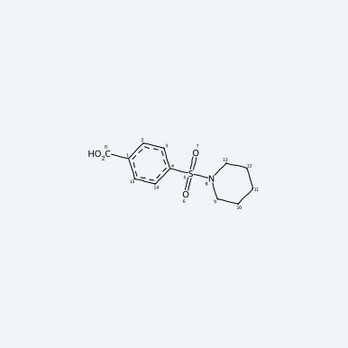 O=C(O)c1ccc(S(=O)(=O)N2CCCCC2)cc1